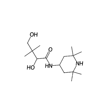 CC1(C)CC(NC(=O)C(O)C(C)(C)CO)CC(C)(C)N1